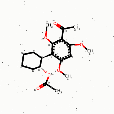 COc1cc(OC)c([C@@H]2CCCC[C@H]2OC(C)=O)c(OC)c1C(C)=O